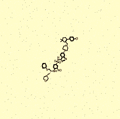 CC1(C)CCC(c2ccc(Cl)cc2)=C(CN2CCN(c3ccc4c(NS(=O)(=O)c5ccc(N[C@H](CCN6CCOCC6)CSc6ccccc6)c(N=O)c5)ncnc4c3)CC2)C1